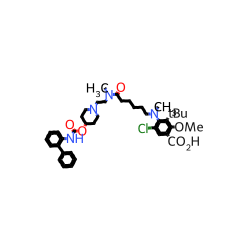 COc1c(C(=O)O)cc(Cl)c(N(C)CCCCCC(=O)N(C)CCN2CCC(OC(=O)Nc3ccccc3-c3ccccc3)CC2)c1C(C)(C)C